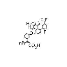 CCC[C@@H](CC(=O)O)c1cccc(OCc2ccc(-c3cc(C(F)F)ccc3F)c(C3=CCCC3(C)C)c2)c1